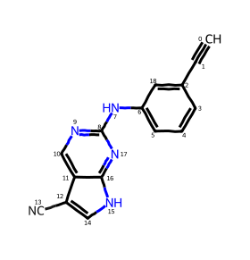 C#Cc1cccc(Nc2ncc3c(C#N)c[nH]c3n2)c1